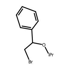 CC(C)OC(CBr)c1ccccc1